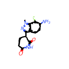 Cn1nc(C2CCC(=O)NC2=O)c2ccc(N)c(F)c21